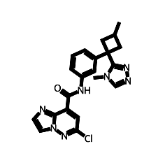 CC1CC(c2cccc(NC(=O)c3cc(Cl)nn4ccnc34)c2)(c2nncn2C)C1